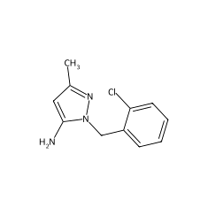 Cc1cc(N)n(Cc2ccccc2Cl)n1